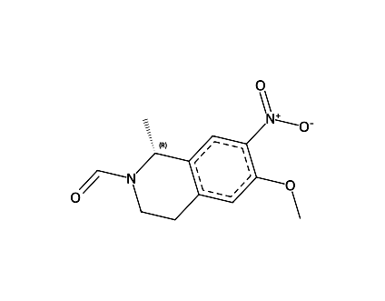 COc1cc2c(cc1[N+](=O)[O-])[C@@H](C)N(C=O)CC2